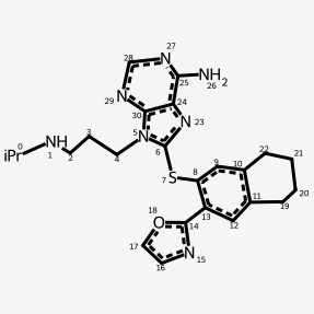 CC(C)NCCCn1c(Sc2cc3c(cc2-c2ncco2)CCCC3)nc2c(N)ncnc21